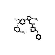 Cc1nc(-c2nnn(C)c2CNc2nccc(Cc3ccccc3)n2)ccc1O[C@H]1CCC[C@H](C(=O)O)C1